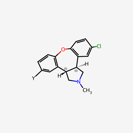 CN1C[C@@H]2c3cc(Cl)ccc3Oc3cc[c]([Y])cc3[C@H]2C1